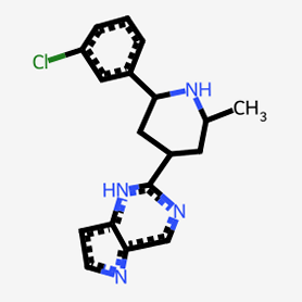 CC1CC(c2ncc3nccc-3[nH]2)CC(c2cccc(Cl)c2)N1